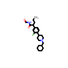 CCCC(C(=O)NC=O)c1ccc(C2CCN(CC3CCCCC3)CC2)c(F)c1